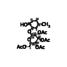 CC(=O)OC[C@H]1O[C@@H](Oc2cc(C)ccc2O)[C@H](OC(C)=O)[C@@H](OC(C)=O)[C@@H]1OC(C)=O